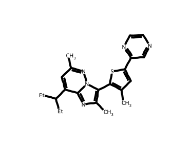 CCC(CC)c1cc(C)nn2c(-c3sc(-c4cnccn4)cc3C)c(C)nc12